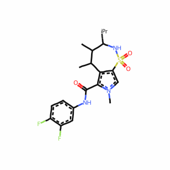 CC(C)C1NS(=O)(=O)c2cn(C)c(C(=O)Nc3ccc(F)c(F)c3)c2C(C)C1C